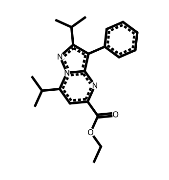 CCOC(=O)c1cc(C(C)C)n2nc(C(C)C)c(-c3ccccc3)c2n1